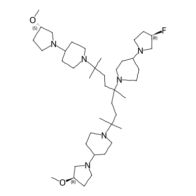 CO[C@@H]1CCN(C2CCN(C(C)(C)CCC(C)(CCC(C)(C)N3CCC(N4CC[C@H](OC)C4)CC3)N3CCC(N4CC[C@@H](F)C4)CC3)CC2)C1